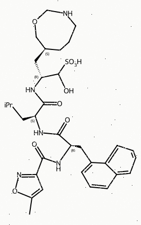 Cc1cc(C(=O)N[C@H](Cc2cccc3ccccc23)C(=O)N[C@@H](CC(C)C)C(=O)N[C@H](C[C@@H]2CCCNCOC2)C(O)S(=O)(=O)O)no1